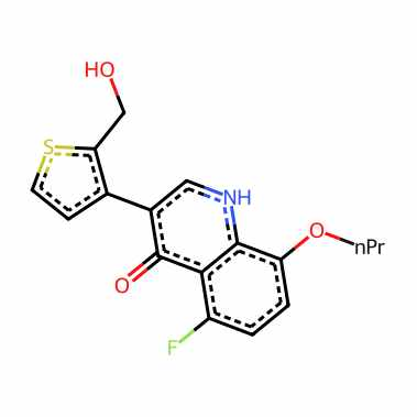 CCCOc1ccc(F)c2c(=O)c(-c3ccsc3CO)c[nH]c12